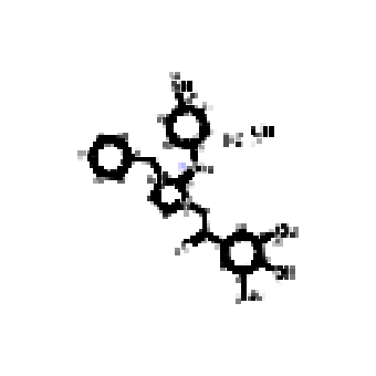 CC(C)(C)c1cc(C(=O)Cn2ccn(Cc3ccccc3)/c2=N\c2ccc(N)cc2)cc(C(C)(C)C)c1O.Cl.Cl